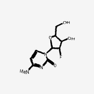 CNc1ccn(C2OC(CO)C(O)C2F)c(=O)n1